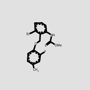 CCc1cccc(NC(=S)OC)c1COc1ccc(C)cc1F